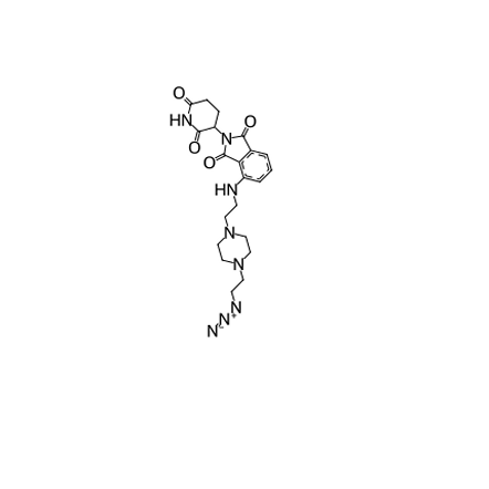 [N-]=[N+]=NCCN1CCN(CCNc2cccc3c2C(=O)N(C2CCC(=O)NC2=O)C3=O)CC1